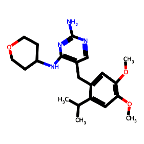 COc1cc(Cc2cnc(N)nc2NC2CCOCC2)c(C(C)C)cc1OC